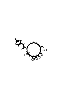 C/C(=C\c1csc(C)n1)[C@@H]1CCCCCC(C)[C@H](O)C(C)C(=O)C(C)(C)C(O)CC(=O)O1